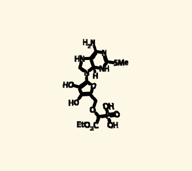 CCOC(=O)C(OCc1oc(N2CNC3=C(N)N=C(SC)N[C@@H]32)c(O)c1O)P(=O)(O)O